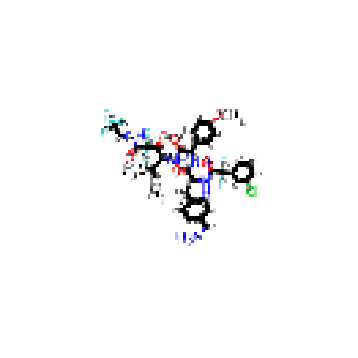 COc1ccc([C@H](NC(=O)[C@H](Cc2ccc(CN)cc2)NC(=O)C(F)(F)c2cccc(Cl)c2)C(=O)N[C@H](C(=O)C(F)(F)C(=O)NCC(F)(F)F)C(C)C)cc1